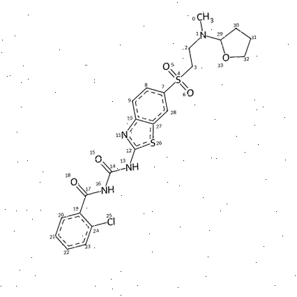 CN(CCS(=O)(=O)c1ccc2nc(NC(=O)NC(=O)c3ccccc3Cl)sc2c1)C1CCCO1